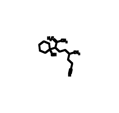 C=C(C)C(CCC(C)CCC#N)C1(O)CCCCC1